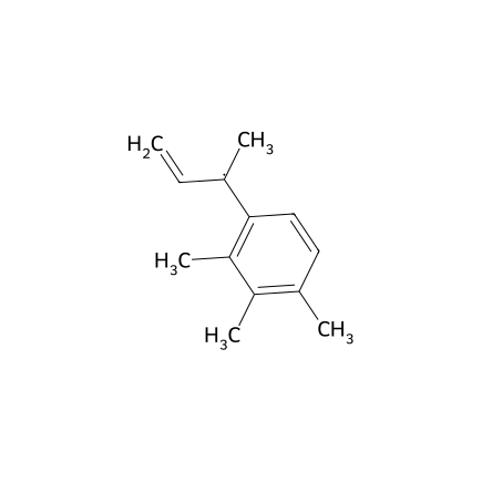 C=C[C](C)c1ccc(C)c(C)c1C